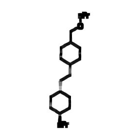 CCCOCC1CCC(CC[C@H]2CC[C@H](CCC)CC2)CC1